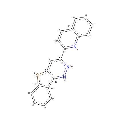 c1ccc2nc(-c3cc4sc5ccccc5c4nn3)ccc2c1